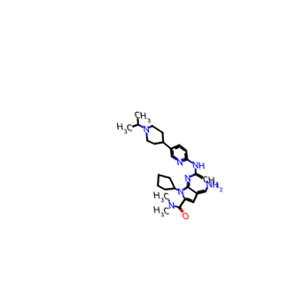 C=C(/N=C1\C(=C/N)C=C(C(=O)N(C)C)N1C1CCCC1)Nc1ccc(C2CCN(C(C)C)CC2)cn1